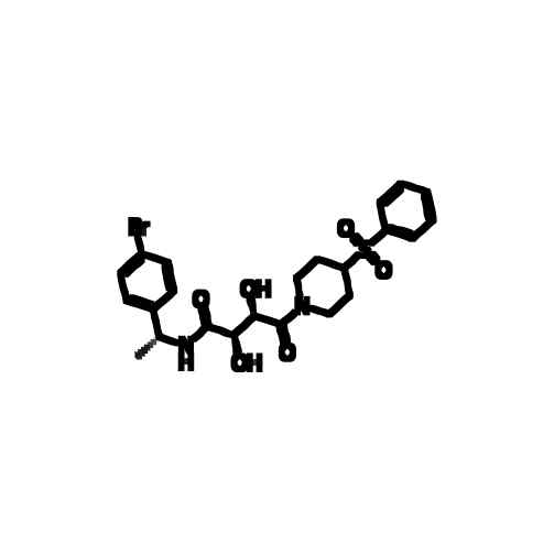 C[C@@H](NC(=O)[C@H](O)[C@@H](O)C(=O)N1CCC(S(=O)(=O)c2ccccc2)CC1)c1ccc(Br)cc1